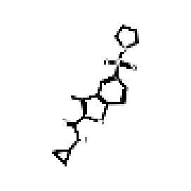 Cc1c(C(=O)NC2CC2)oc2ccc(S(=O)(=O)N3CCCC3)cc12